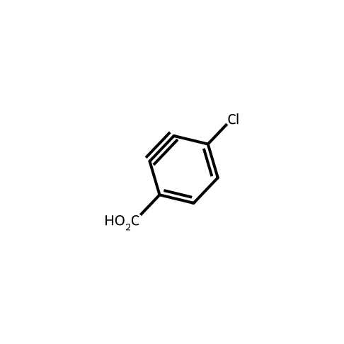 O=C(O)c1c#cc(Cl)cc1